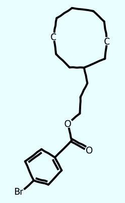 O=C(OCCCC1CCCCCCCCC1)c1ccc(Br)cc1